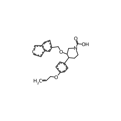 C=CCOc1ccc(C2CCN(C(=O)O)CC2OCc2ccc3ccccc3c2)cc1